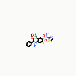 COCC(Nc1cc(F)c(S(=O)(=O)Nc2nccs2)cc1Cl)c1ccccc1